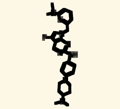 CN(C)c1cccc(Cn2cc(F)c3cnc(Nc4ccc(N5CCC(N(C)C)CC5)cc4)nc32)n1